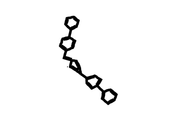 [C]1=C2C(=CC1=Cc1ccc(-c3ccccc3)cc1)C2c1ccc(-c2ccccc2)cc1